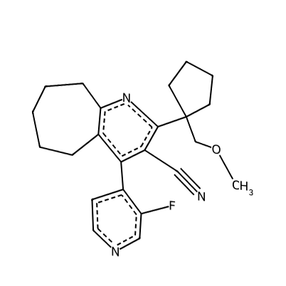 COCC1(c2nc3c(c(-c4ccncc4F)c2C#N)CCCCC3)CCCC1